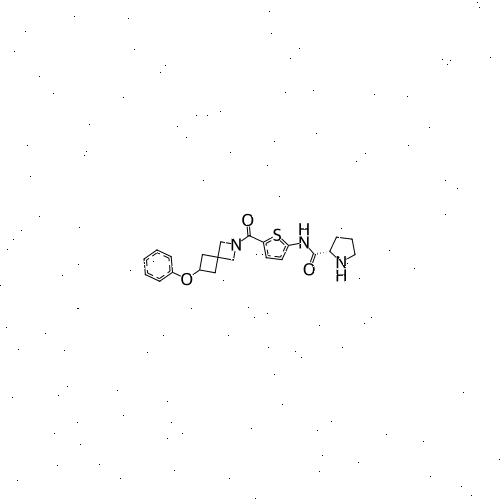 O=C(Nc1ccc(C(=O)N2CC3(CC(Oc4ccccc4)C3)C2)s1)[C@@H]1CCCN1